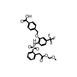 COCOC(=O)Cc1ccccc1S(=O)(=O)Nc1ccc(C(F)(F)F)cc1OCc1ccc(C(=O)O)cc1